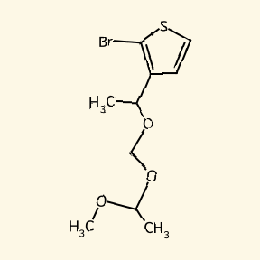 COC(C)OCOC(C)c1ccsc1Br